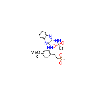 CCS(=O)(=O)Nc1nc2ccccc2nc1Nc1cc(OC)ccc1CCS(C)(=O)=O.[K]